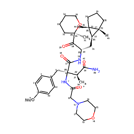 COc1ccc(C[C@](NC(=O)CN2CCOCC2)(C(=O)N[C@@H](C[C@H]2[C@@H]3CCC[C@@H]32)C(=O)[C@@]2(C)CCCCO2)[C@H](C)C(N)=O)cc1